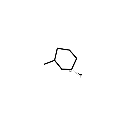 CC1CCC[C@H](F)C1